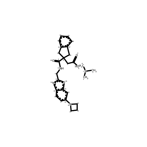 CN(C)C.O=C(O)CC1(C(=O)NCc2nc3ccc(N4CCC4)cc3s2)Cc2ccccc2C1